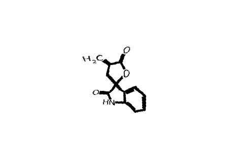 C=C1CC2(OC1=O)C(=O)Nc1ccccc12